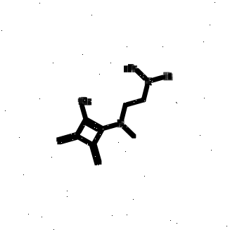 C=C1C(=C)C(C(C)(C)C)=C1N(C)CCN(CC)CCC